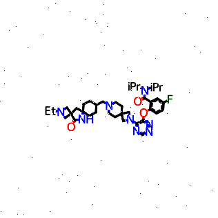 CCN1CC2(C1)CC1(CCC(CN3CCC4(CC3)CN(c3ncnnc3Oc3ccc(F)cc3C(=O)N(C(C)C)C(C)C)C4)CC1)NC2=O